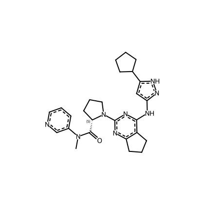 CN(C(=O)[C@@H]1CCCN1c1nc2c(c(Nc3cc(C4CCCC4)[nH]n3)n1)CCC2)c1cccnc1